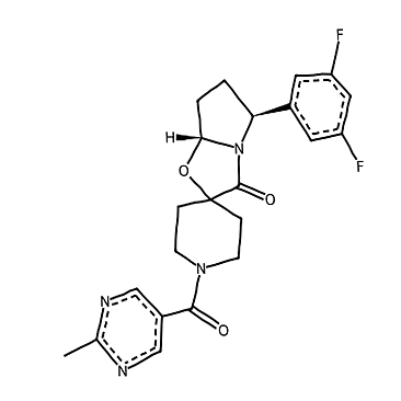 Cc1ncc(C(=O)N2CCC3(CC2)O[C@@H]2CC[C@@H](c4cc(F)cc(F)c4)N2C3=O)cn1